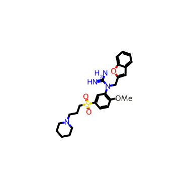 COc1ccc(S(=O)(=O)CCCN2CCCCC2)cc1N(Cc1cc2ccccc2o1)C(=N)N